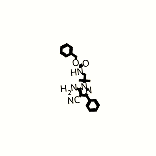 CC(C)(CNC(=O)OCc1ccccc1)n1nc(-c2ccccc2)c(C#N)c1N